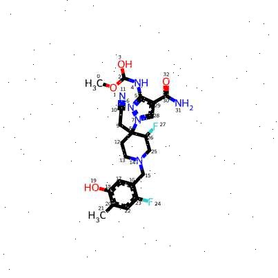 COC(O)Nc1nn(C2(CC#N)CCN(Cc3cc(O)c(C)cc3F)CC2F)cc1C(N)=O